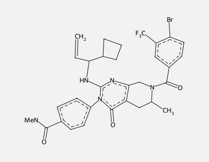 C=CC(Nc1nc2c(c(=O)n1-c1ccc(C(=O)NC)cc1)CC(C)N(C(=O)c1ccc(Br)c(C(F)(F)F)c1)C2)C1CCC1